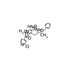 C[C@@H](OCc1ccccc1)C1CCc2c(cn(C)c2C(=O)Nc2ccnc(Cl)c2)S(=N)(=O)N1